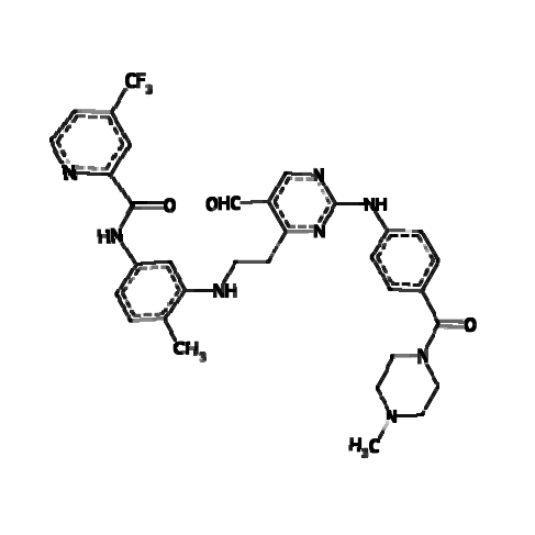 Cc1ccc(NC(=O)c2cc(C(F)(F)F)ccn2)cc1NCCc1nc(Nc2ccc(C(=O)N3CCN(C)CC3)cc2)ncc1C=O